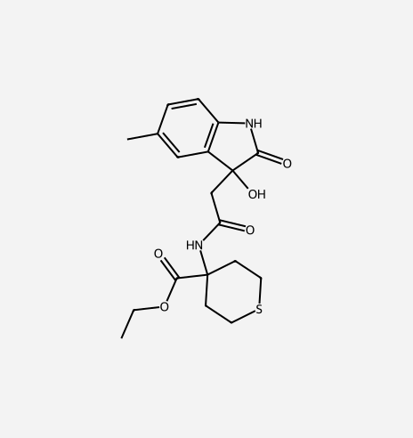 CCOC(=O)C1(NC(=O)CC2(O)C(=O)Nc3ccc(C)cc32)CCSCC1